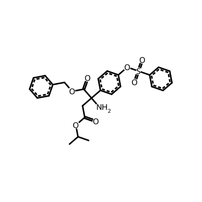 CC(C)OC(=O)CC(N)(C(=O)OCc1ccccc1)c1ccc(OS(=O)(=O)c2ccccc2)cc1